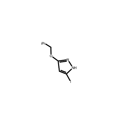 CC(C)COc1cc(I)[nH]n1